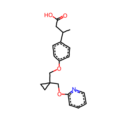 CC(CC(=O)O)c1ccc(OCC2(COc3ccccn3)CC2)cc1